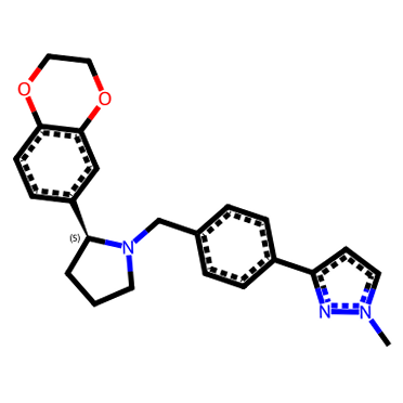 Cn1ccc(-c2ccc(CN3CCC[C@H]3c3ccc4c(c3)OCCO4)cc2)n1